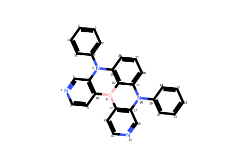 c1ccc(N2c3cnccc3B3c4ccncc4N(c4ccccc4)c4cccc2c43)cc1